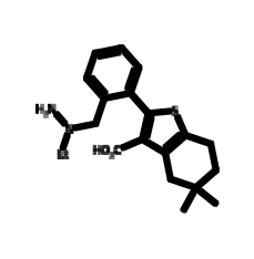 CCN(N)Cc1ccccc1-c1sc2c(c1C(=O)O)CC(C)(C)CC2